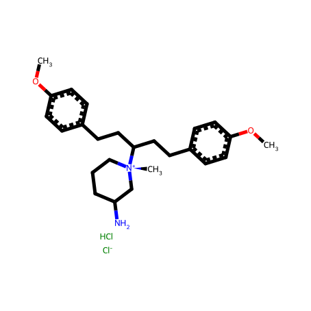 COc1ccc(CCC(CCc2ccc(OC)cc2)[N@@+]2(C)CCCC(N)C2)cc1.Cl.[Cl-]